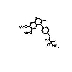 COc1cc2ncc(C)c(-c3ccc(CNS(N)(=O)=O)cc3)c2cc1OC